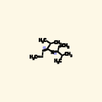 C=C/C=C(\N=C(/C=C)C(C)C)C(C)C